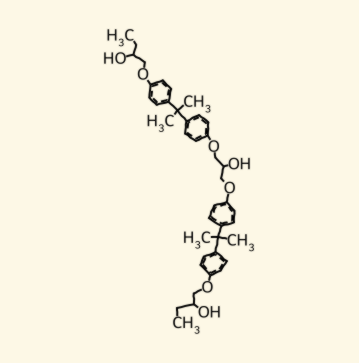 CCC(O)COc1ccc(C(C)(C)c2ccc(OCC(O)COc3ccc(C(C)(C)c4ccc(OCC(O)CC)cc4)cc3)cc2)cc1